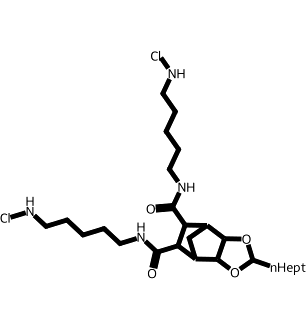 CCCCCCCC1OC2C3CC(C2O1)C(C(=O)NCCCCCNCl)C3C(=O)NCCCCCNCl